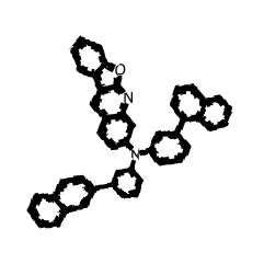 c1cc(-c2ccc3ccccc3c2)cc(N(c2cccc(-c3cccc4ccccc34)c2)c2ccc3cc4c(nc3c2)oc2ccccc24)c1